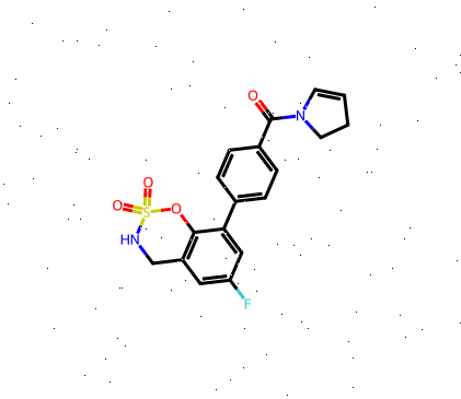 O=C(c1ccc(-c2cc(F)cc3c2OS(=O)(=O)NC3)cc1)N1C=CCC1